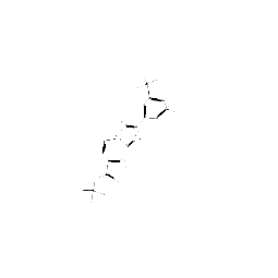 COc1cc(-c2ncn(/C=C\c3nonc3OC(F)(F)F)n2)cc(C(F)(F)F)c1